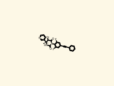 CCC1C(=O)N(c2c(F)cc(C#Cc3ccccc3)cc2F)C(=O)N[C@]1(C)c1cccnc1